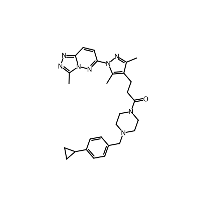 Cc1nn(-c2ccc3nnc(C)n3n2)c(C)c1CCC(=O)N1CCN(Cc2ccc(C3CC3)cc2)CC1